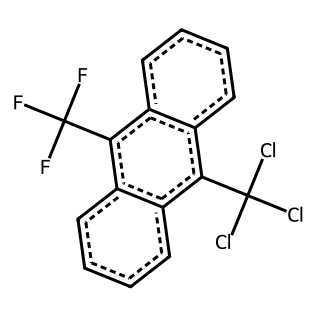 FC(F)(F)c1c2ccccc2c(C(Cl)(Cl)Cl)c2ccccc12